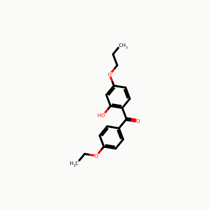 CCCOc1ccc(C(=O)c2ccc(OCC)cc2)c(O)c1